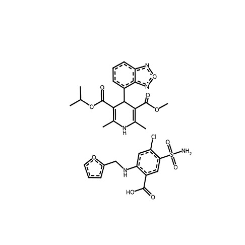 COC(=O)C1=C(C)NC(C)=C(C(=O)OC(C)C)C1c1cccc2nonc12.NS(=O)(=O)c1cc(C(=O)O)c(NCc2ccco2)cc1Cl